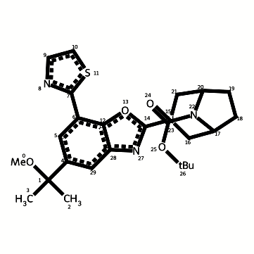 COC(C)(C)c1cc(-c2nccs2)c2oc(N3CC4CCC(C3)N4C(=O)OC(C)(C)C)nc2c1